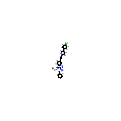 Cn1c(NCc2ccccc2)nc2cc(C#Cc3ccc(-c4ccc(Cl)cc4)cn3)ccc21